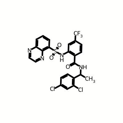 CC(NC(=O)c1ccc(C(F)(F)F)cc1NS(=O)(=O)c1cccc2nccnc12)c1ccc(Cl)cc1Cl